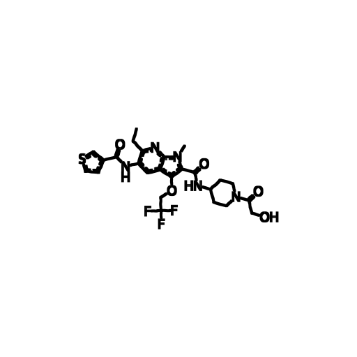 CCc1nc2c(cc1NC(=O)c1ccsc1)c(OCC(F)(F)F)c(C(=O)NC1CCN(C(=O)CO)CC1)n2C